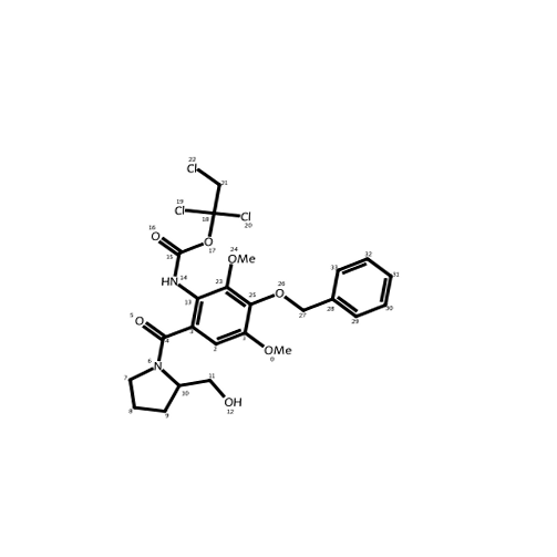 COc1cc(C(=O)N2CCCC2CO)c(NC(=O)OC(Cl)(Cl)CCl)c(OC)c1OCc1ccccc1